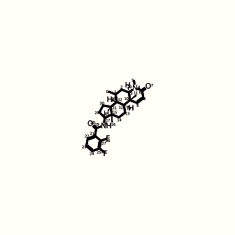 CC1C[C@H]2N(C)C(=O)C=C[C@]2(C)[C@H]2CC[C@]3(C)C(NC(=O)c4cccc(F)c4F)CC[C@H]3[C@H]12